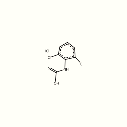 Cl.OC(=S)Nc1c(Cl)cccc1Cl